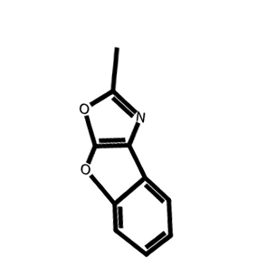 Cc1nc2c(o1)oc1ccccc12